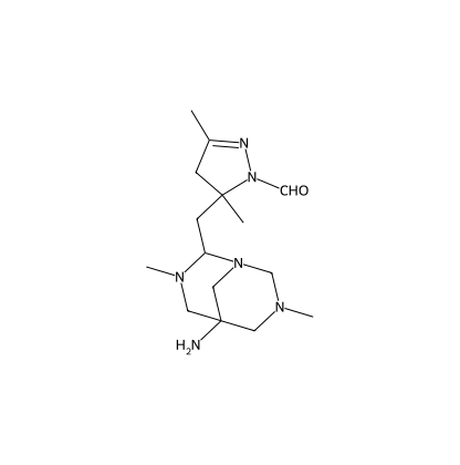 CC1=NN(C=O)C(C)(CC2N(C)CC3(N)CN(C)CN2C3)C1